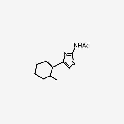 CC(=O)Nc1nc(C2[CH]CCCC2C)cs1